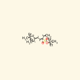 C=C/C(=C\C=C(/C=C)S(=O)(=O)OC(C)(CC)CC)CC(C)(CC)CC